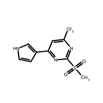 CS(=O)(=O)c1nc(-c2cc[nH]c2)cc(C(F)(F)F)n1